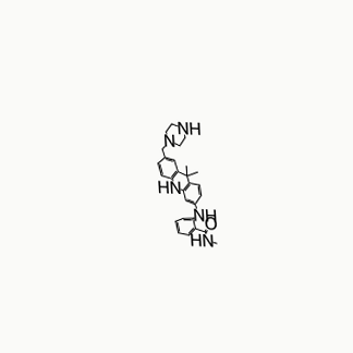 CNC(=O)c1ccccc1Nc1ccc2c(c1)Nc1ccc(CN3CCNCC3)cc1C2(C)C